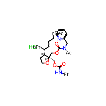 CCCCCCCCCCCCCC(CCC)[C@H]1CCO[C@]1(COC(=O)NCC)COC(=O)N(Cc1ccccn1)C(C)=O.Cl